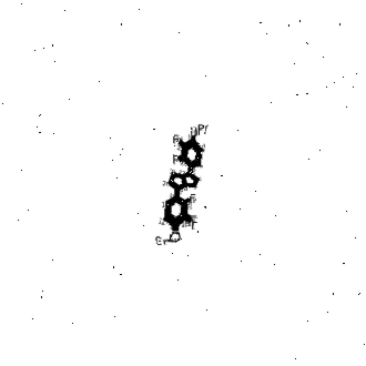 CCCc1ccc(C2=CCC3C(c4ccc(OCC)c(F)c4F)=CCC23)c(F)c1F